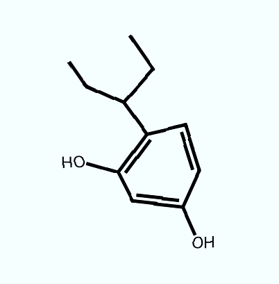 CCC(CC)c1ccc(O)cc1O